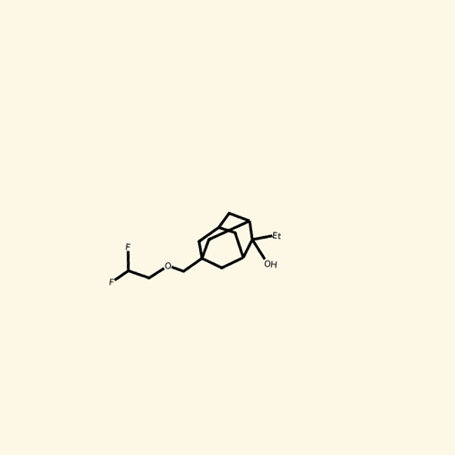 CCC1(O)C2CC3CC1CC(COCC(F)F)(C3)C2